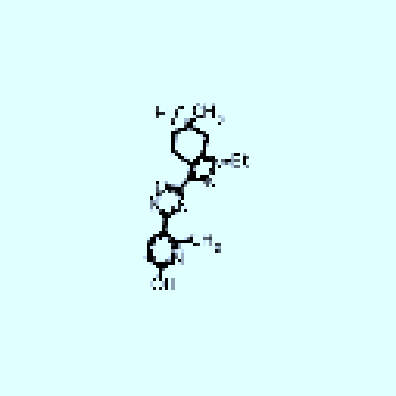 CCn1nc(-c2nc(-c3ccc(O)nc3C)no2)c2c1CC(C)(C)CC2